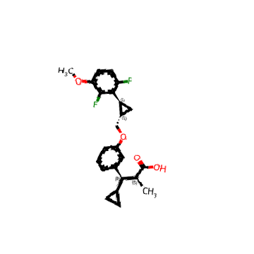 COc1ccc(F)c([C@H]2C[C@@H]2COc2cccc([C@H](C3CC3)[C@H](C)C(=O)O)c2)c1F